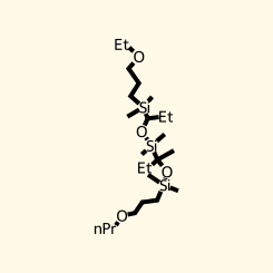 CCCOCCC[Si](C)(C)OC(C)(CC)[Si](C)(C)OC(CC)[Si](C)(C)CCCOCC